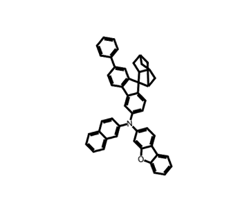 c1ccc(-c2ccc3c(c2)C2(c4ccc(N(c5ccc6ccccc6c5)c5ccc6c(c5)oc5ccccc56)cc4-3)C3CC4CC(C3)C2C4)cc1